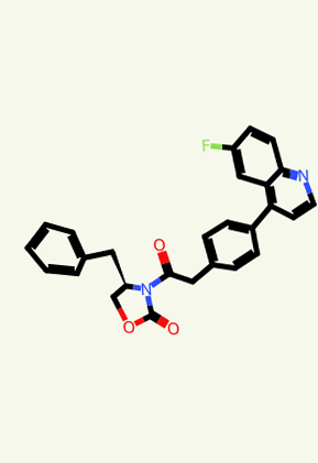 O=C(Cc1ccc(-c2ccnc3ccc(F)cc23)cc1)N1C(=O)OC[C@H]1Cc1ccccc1